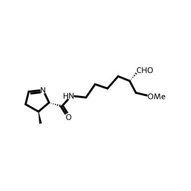 COC[C@@H](C=O)CCCCNC(=O)[C@H]1N=CC[C@@H]1C